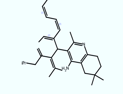 C=C(CC(C)C)C(=C(C)C)C(C(/C=C\C=C/C)=C\C)c1c(C)nc2c(c1N)CC(C)(C)CC2